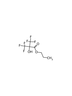 CCCOC(=O)C(O)(C(F)(F)F)C(F)(F)F